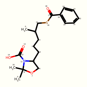 CC(CCCC1COC(C)(C)N1C(=O)O)CSC(=O)c1ccccc1